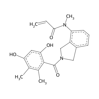 C=CC(=O)N(C)c1cccc2c1CN(C(=O)c1c(O)cc(O)c(C)c1C)C2